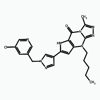 CCCCCn1c2cc(-c3cnn(Cc4cncc(Cl)c4)c3)[nH]c2c(=O)n2c(C)nnc12